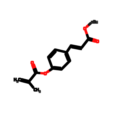 C=C(C)C(=O)Oc1ccc(C=CC(=O)OCCCC)cc1